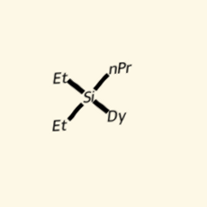 CCC[Si]([Dy])(CC)CC